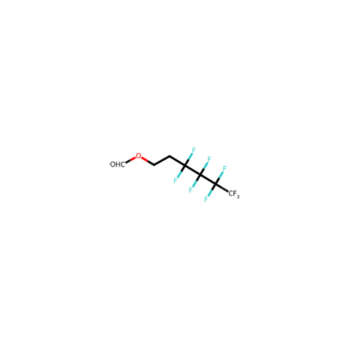 O=[C]OCCC(F)(F)C(F)(F)C(F)(F)C(F)(F)F